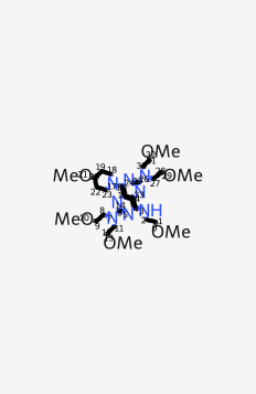 COCCNc1nc(N(CCOC)CCOC)nc2c(N3CCC(OC)CC3)nc(N(CCOC)CCOC)nc12